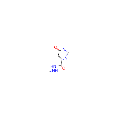 CNNC(=O)c1cc(=O)[nH]cn1